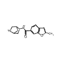 Cc1cc2ccc(C(=O)NC3CC4CC3CN4)cc2o1